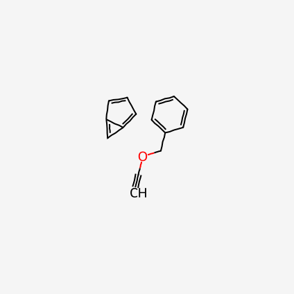 C#COCc1ccccc1.c1cc2cc-2c1